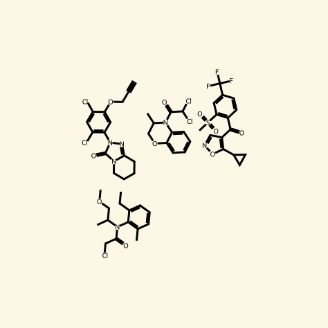 C#CCOc1cc(-n2nc3n(c2=O)CCCC3)c(Cl)cc1Cl.CC1COc2ccccc2N1C(=O)C(Cl)Cl.CCc1cccc(C)c1N(C(=O)CCl)C(C)COC.CS(=O)(=O)c1cc(C(F)(F)F)ccc1C(=O)c1cnoc1C1CC1